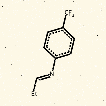 CC/C=N/c1ccc(C(F)(F)F)cc1